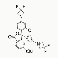 CC(C)(C)c1ccc2c(c1)C1(OC2=O)c2ccc(N3CC(F)(F)C3)cc2Oc2cc(N3CC(F)(F)C3)ccc21